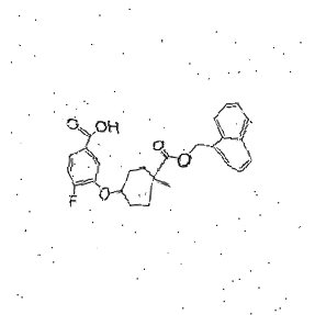 CC1(C(=O)OCc2cccc3ccccc23)CCC(Oc2cc(C(=O)O)ccc2F)CC1